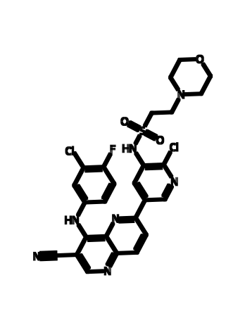 N#Cc1cnc2ccc(-c3cnc(Cl)c(NS(=O)(=O)CCN4CCOCC4)c3)nc2c1Nc1ccc(F)c(Cl)c1